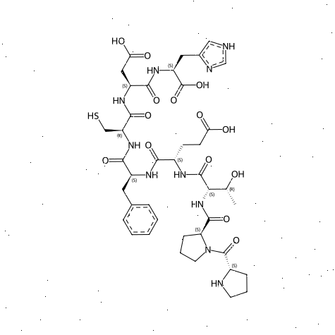 C[C@@H](O)[C@H](NC(=O)[C@@H]1CCCN1C(=O)[C@@H]1CCCN1)C(=O)N[C@@H](CCC(=O)O)C(=O)N[C@@H](Cc1ccccc1)C(=O)N[C@@H](CS)C(=O)N[C@@H](CC(=O)O)C(=O)N[C@@H](Cc1c[nH]cn1)C(=O)O